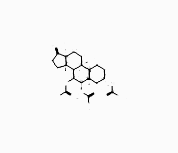 C=C1CC[C@H]2C3C(OC(C)=O)[C@H](OC(C)=O)[C@H]4C[C@@H](NC(C)=O)CC[C@]4(C)[C@H]3CC[C@]12C